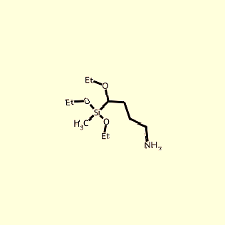 CCOC(CCCN)[Si](C)(OCC)OCC